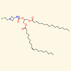 CCCCCCCC/C=C\CCCCCCCC(=O)OCC(COC(=O)CCCCCCCCCCCCCCC)OC(=O)NC1CN(CCF)C1